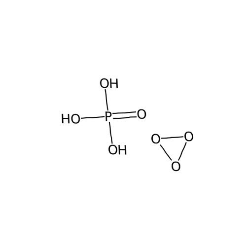 O=P(O)(O)O.o1oo1